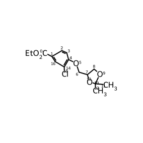 CCOC(=O)c1ccc(OCC2COC(C)(C)O2)c(Cl)c1